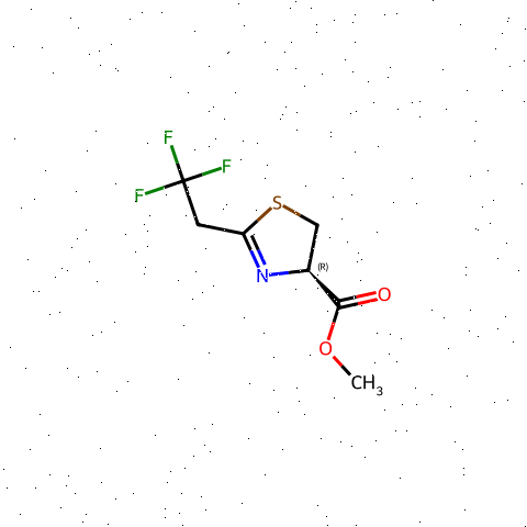 COC(=O)[C@@H]1CSC(CC(F)(F)F)=N1